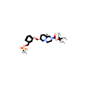 CC(C)(C)OC(=O)N1CCN2C[C@H](COc3cccc(COS(C)(=O)=O)c3)CC[C@H]2C1